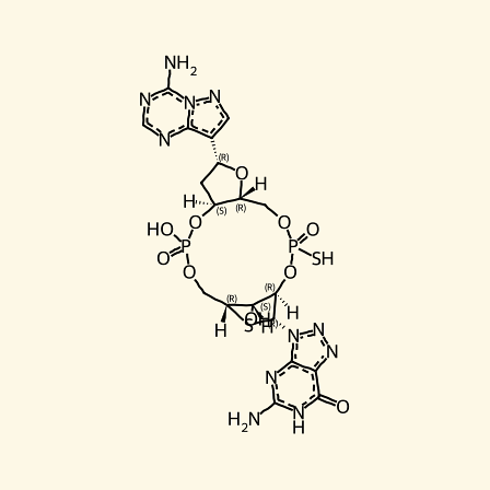 Nc1nc2c(nnn2[C@@H]2S[C@@H]3COP(=O)(O)O[C@H]4C[C@H](c5cnn6c(N)ncnc56)O[C@@H]4COP(=O)(S)O[C@@H]2[C@@H]3O)c(=O)[nH]1